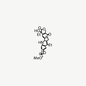 CCC1=C2Cn3c(cc4c(c3=O)COC(=O)[C@]4(O)CC)C2Nc2ccc(O[PH](=O)COC)cc21